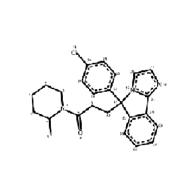 CC1CCCCN1C(=O)CCC1(c2ccc(Cl)cc2)c2ccccc2-c2nccn21